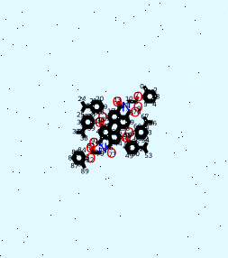 Cc1ccccc1OC(=O)CN1C(=O)c2cc(Oc3cccc(C(C)C)c3)c3c4c(Oc5cccc(C(C)C)c5)cc5c6c(cc(Oc7cccc(C(C)C)c7)c(c7c(Oc8cccc(C(C)C)c8)cc(c2c37)C1=O)c64)C(=O)N(CC(=O)Oc1ccccc1C)C5=O